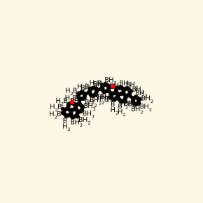 Bc1c(B)c(B)c(-c2c(B)c(B)c3c(B)c(B)c4c(-c5c(B)c(B)c(B)c(-c6c(B)c(B)c(-c7c(B)c(B)c(B)c(-c8c(B)c(B)c9c(B)c(B)c%10c(B)c(B)c(B)c%11c(B)c(B)c8c9c%10%11)c7B)c(B)c6B)c5B)c(B)c(B)c5c(B)c(B)c2c3c54)c(B)c1B